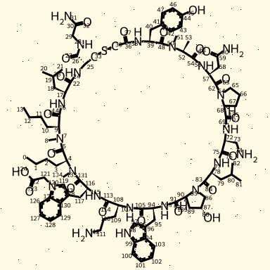 CCCC[C@H]1C(=O)N(C)[C@@H](CCCC)C(=O)N[C@@H](CC(C)C)C(=O)N[C@H](C(=O)NCC(N)=O)CSCC(=O)N[C@@H](Cc2ccc(O)cc2)C(=O)N(C)[C@@H](C)C(=O)N[C@@H](CC(N)=O)C(=O)N2CCC[C@H]2C(=O)N[C@@H](CN)C(=O)N[C@@H](CC(C)C)C(=O)N2C[C@H](O)C[C@H]2C(=O)N[C@@H](Cc2c[nH]c3ccccc23)C(=O)N[C@@H](CCCN)C(=O)N[C@@H](Cc2cn(CC(=O)O)c3ccccc23)C(=O)N1C